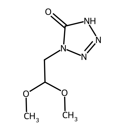 COC(Cn1nn[nH]c1=O)OC